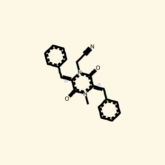 Cn1c(=O)/c(=C/c2ccccc2)n(CC#N)c(=O)/c1=C/c1ccccc1